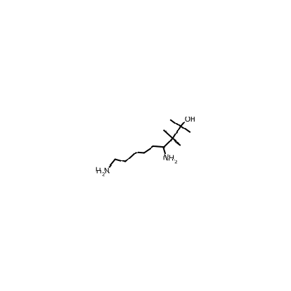 CC(C)(O)C(C)(C)C(N)CCCCCN